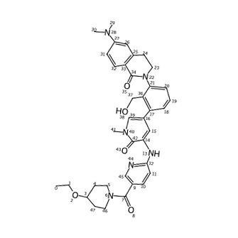 CCOC1CCN(C(=O)c2ccc(Nc3cc(-c4cccc(N5CCc6cc(N(C)C)ccc6C5=O)c4CO)cn(C)c3=O)nc2)CC1